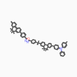 Cc1ccc(N(c2ccccc2)c2ccc(-c3ccc4c(c3)C(C)(C)C(C)(C)c3cc(C(C)(C)c5ccc(-c6nnc(-c7ccc(-c8ccc9c(c8)C(C)(C)C(C)(C)c8cc(C)ccc8-9)cc7)o6)cc5)ccc3-4)cc2)cc1